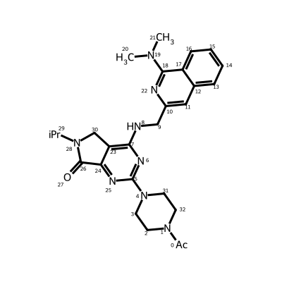 CC(=O)N1CCN(c2nc(NCc3cc4ccccc4c(N(C)C)n3)c3c(n2)C(=O)N(C(C)C)C3)CC1